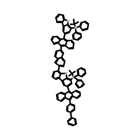 CC(C)(C)[Si](c1ccccc1)(c1ccccc1)c1cc(-c2c3ccccc3c(-c3ccc4cc(-c5cccc6c5oc5c([Si](c7ccccc7)(c7ccccc7)C(C)(C)C)cc(-c7c8ccccc8c(-c8ccc(-c9ccccc9)cc8)c8ccccc78)cc56)ccc4c3)c3ccccc23)cc2c1oc1ccccc12